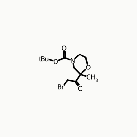 CC(C)(C)OC(=O)N1CCOC(C)(C(=O)CBr)C1